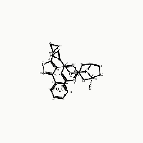 O=C(O)c1cc(C2CC2)nc(N2C3CC[C@H]2CC(OCc2c(-c4ccccc4)noc2C2CC2)C3)n1